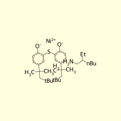 CC(C)(C)CC(C)(C)c1ccc([O-])c(Sc2cc(C(C)(C)CC(C)(C)C)ccc2[O-])c1.CCCCC(CC)CN.[Ni+2]